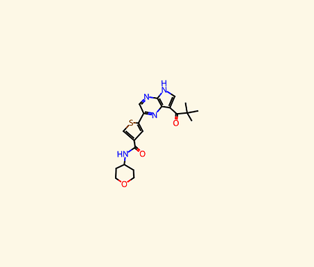 CC(C)(C)C(=O)c1c[nH]c2ncc(-c3cc(C(=O)NC4CCOCC4)cs3)nc12